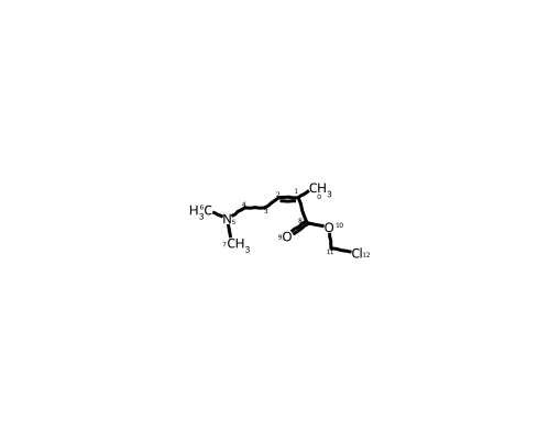 CC(=CCCN(C)C)C(=O)OCCl